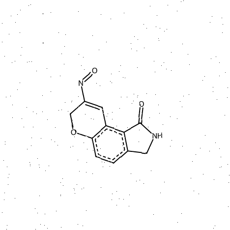 O=NC1=Cc2c(ccc3c2C(=O)NC3)OC1